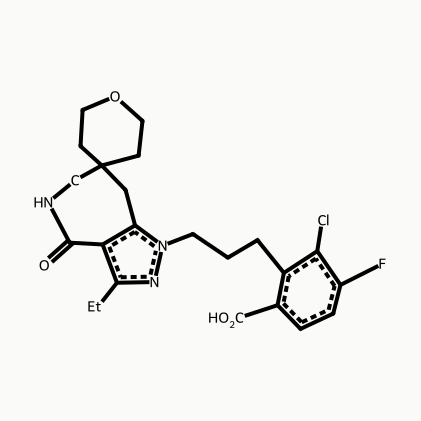 CCc1nn(CCCc2c(C(=O)O)ccc(F)c2Cl)c2c1C(=O)NCC1(CCOCC1)C2